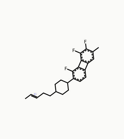 C/C=C/CCC1CCC(c2ccc3c(c2F)-c2c-3cc(C)c(F)c2F)CC1